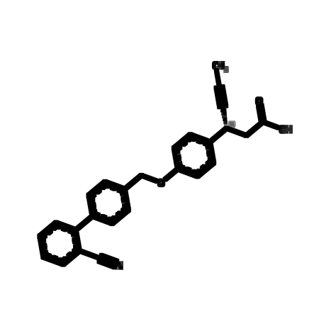 CC#C[C@H](CC(=O)O)c1ccc(OCc2ccc(-c3ccccc3C#N)cc2)cc1